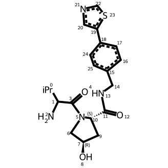 CC(C)C(N)C(=O)N1C[C@H](O)C[C@H]1C(=O)NCc1ccc(-c2cncs2)cc1